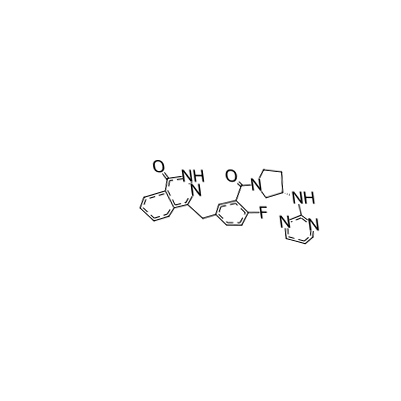 O=C(c1cc(Cc2n[nH]c(=O)c3ccccc23)ccc1F)N1CC[C@H](Nc2ncccn2)C1